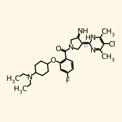 CCN(CC)C1CCC(Oc2cc(F)ccc2C(=O)N2CC(=N)/C(=C3/N=C(C)C(Cl)=C(C)N3)C2)CC1